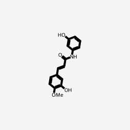 COc1ccc(C=CC(=O)Nc2cccc(O)c2)cc1O